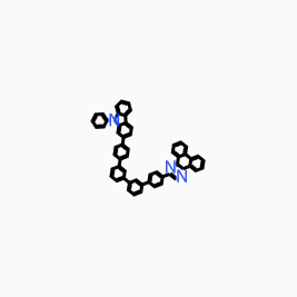 c1ccc(-n2c3ccccc3c3ccc(-c4ccc(-c5cccc(-c6cccc(-c7ccc(-c8cnc9c%10ccccc%10c%10ccccc%10c9n8)cc7)c6)c5)cc4)cc32)cc1